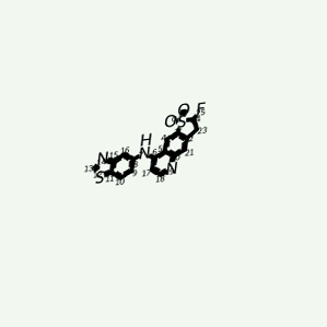 O=S1(=O)c2cc3c(Nc4ccc5scnc5c4)ccnc3cc2CC1F